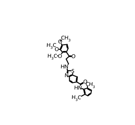 COc1ccc(C(=O)CCNc2nc3ccc(C(=O)Nc4c(C)cccc4C)cc3s2)c(OC)c1OC